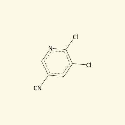 [C-]#[N+]c1cnc(Cl)c(Cl)c1